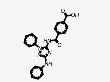 O=C(O)c1ccc(C(=O)Nc2nc(Nc3ccccc3)nn2-c2ccccc2)cc1